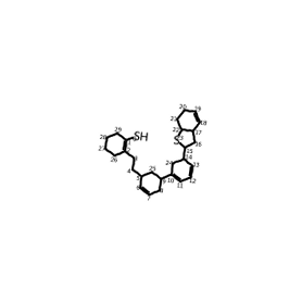 SC1=C(CCC2C=CCC(C3=CC=CC(C4CC5C=CCCC5S4)C3)C2)CCCC1